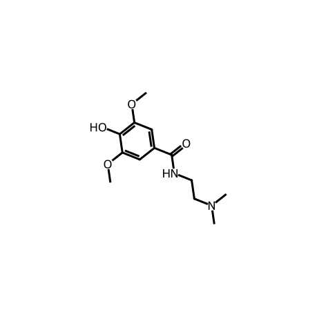 COc1cc(C(=O)NCCN(C)C)cc(OC)c1O